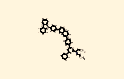 C=C/C=C(\C=C)c1nc(C2=CC=CCC2)cc(-c2ccc(-c3ccc4ccc(-c5ccc(-n6c7ccccc7c7ccccc76)cc5)cc4c3)cc2)n1